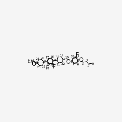 C=CCCOc1ccc(OCC2CCC(c3ccc(C4CCC(OCC)CC4)c(F)c3F)CC2)cc1F